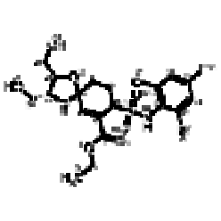 CCOC(=O)C1=CC2(CCC1S(=O)(=O)Nc1c(Cl)cc(F)cc1Br)O[C@H](CO)[C@@H](CO)O2